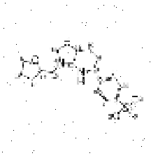 CS(=O)(=O)c1ccc(C2CCC3CCN(CC4CCCO4)C3N2)cc1